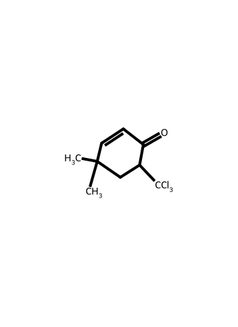 CC1(C)C=CC(=O)C(C(Cl)(Cl)Cl)C1